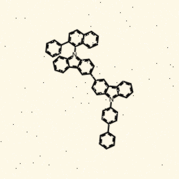 c1ccc(-c2ccc(-n3c4ccccc4c4cc(-c5ccc6c(c5)c5ccccc5n6-c5c(-c6ccccc6)ccc6ccccc56)ccc43)cc2)cc1